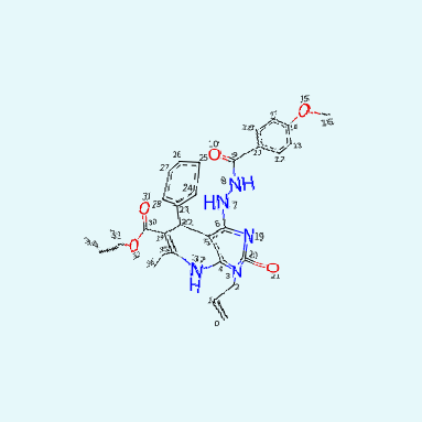 C=CCn1c2c(c(NNC(=O)c3ccc(OC)cc3)nc1=O)C(c1ccccc1)C(C(=O)OCC)=C(C)N2